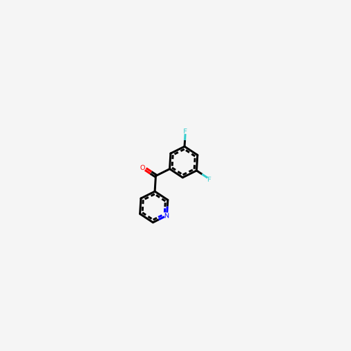 O=C(c1cccnc1)c1cc(F)cc(F)c1